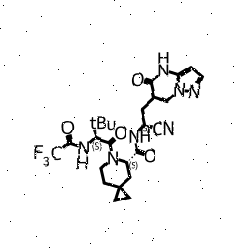 CC(C)(C)[C@H](NC(=O)C(F)(F)F)C(=O)N1CCC2(CC2)C[C@H]1C(=O)N[C@H](C#N)CC1Cn2nccc2NC1=O